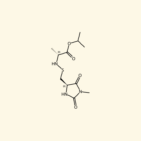 CC(C)OC(=O)[C@@H](C)NSC[C@@H]1NC(=O)N(C)C1=O